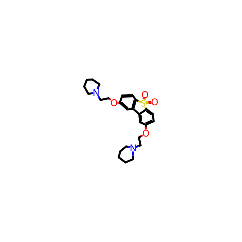 O=S1(=O)c2ccc(OCCN3CCCCC3)cc2-c2cc(OCCN3CCCCC3)ccc21